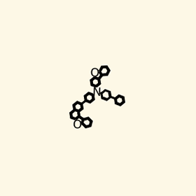 C1=CC(N(c2ccc(-c3ccc4ccc5oc6ccccc6c5c4c3)cc2)c2ccc3oc4ccccc4c3c2)CC=C1c1ccccc1